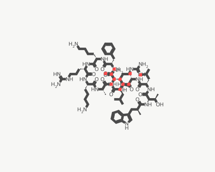 CC(C)C[C@H](NC(=O)[C@H](C)NC(=O)[C@H](CC(C)C)NC(=O)[C@@H](NC(=O)[C@@H](C)Cc1c[nH]c2ccccc12)[C@@H](C)O)C(=O)N[C@@H](CC(C)O)C(=O)N[C@@H](Cc1ccccc1)C(=O)N[C@@H](CCCCN)C(=O)N[C@@H](CCCNC(=N)N)C(=O)N[C@@H](CCCCN)C(=O)N[C@@H](C)C(=O)N[C@@H](CCCNC(=N)N)C(N)=O